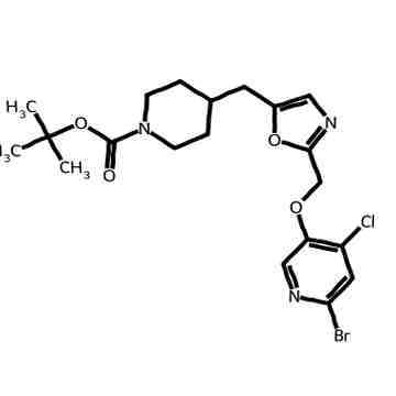 CC(C)(C)OC(=O)N1CCC(Cc2cnc(COc3cnc(Br)cc3Cl)o2)CC1